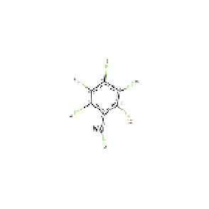 [F][Mg][c]1c(F)c(F)c(F)c(F)c1F